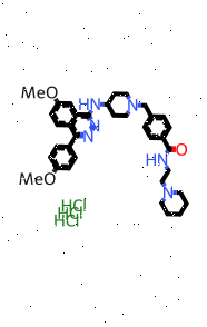 COc1ccc(-c2nnc(NC3CCN(Cc4ccc(C(=O)NCCN5CCCCC5)cc4)CC3)c3cc(OC)ccc23)cc1.Cl.Cl.Cl